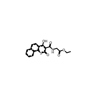 CCOC(=O)CNC(=O)c1c(O)c2ccc3ccccc3c2sc1=O